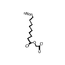 CCCCCCCCCCCCCCCCCC(=O)OCC(=O)Cl